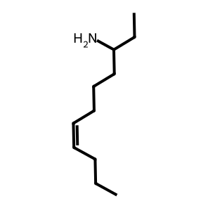 CCC/C=C\CCCC(N)CC